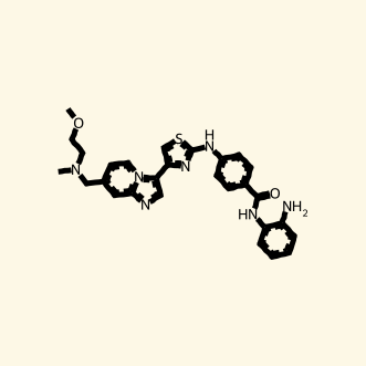 COCCN(C)Cc1ccn2c(-c3csc(Nc4ccc(C(=O)Nc5ccccc5N)cc4)n3)cnc2c1